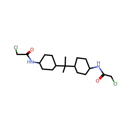 CC(C)(C1CCC(NC(=O)CCl)CC1)C1CCC(NC(=O)CCl)CC1